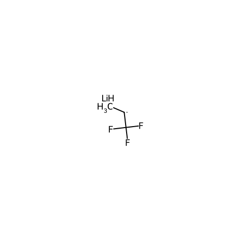 C[CH]C(F)(F)F.[LiH]